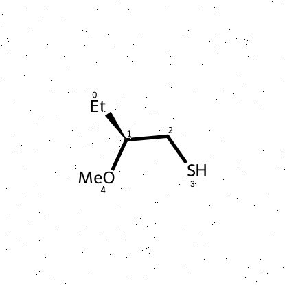 CC[C@@H](CS)OC